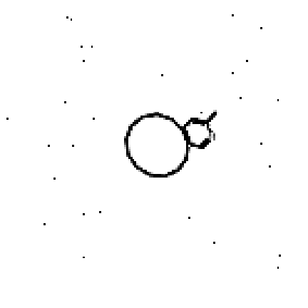 Cc1cc2c(cn1)CCCCCCCCCCC2